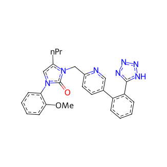 CCCc1cn(-c2ccccc2OC)c(=O)n1Cc1ccc(-c2ccccc2-c2nnn[nH]2)cn1